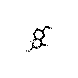 CCCCc1nc(=O)c2cc(C=S)ccc2[nH]1